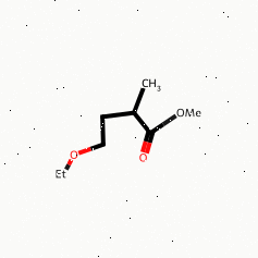 CCOCCC(C)C(=O)OC